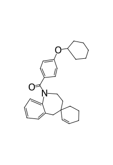 O=C(c1ccc(OC2CCCCC2)cc1)N1CCC2(C=CCCC2)Cc2ccccc21